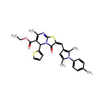 CCOC(=O)C1=C(C)N=c2s/c(=C/c3cc(C)n(-c4ccc(C)cc4)c3C)c(=O)n2C1c1cccs1